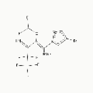 CN/C(=C(/OC(F)F)C(=N)C(F)(F)C(C)(F)F)n1cc(Br)cn1